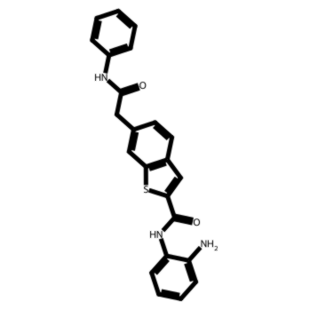 Nc1ccccc1NC(=O)c1cc2ccc(CC(=O)Nc3ccccc3)cc2s1